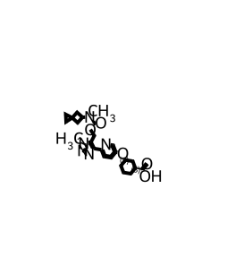 CN(C(=O)OCc1c(-c2ccc(O[C@H]3CCC[C@H](C(=O)O)C3)cn2)nnn1C)C1CC2(CC2)C1